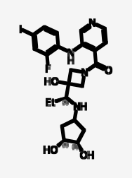 CC[C@H](NC1C[C@@H](O)[C@@H](O)C1)C1(O)CN(C(=O)c2ccncc2Nc2ccc(I)cc2F)C1